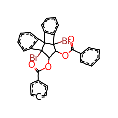 O=C(OC1C(OC(=O)c2ccccc2)C2(Br)c3ccccc3C23c2ccccc2C13Br)c1ccccc1